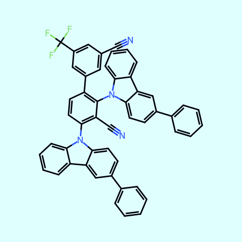 N#Cc1cc(-c2ccc(-n3c4ccccc4c4cc(-c5ccccc5)ccc43)c(C#N)c2-n2c3ccccc3c3cc(-c4ccccc4)ccc32)cc(C(F)(F)F)c1